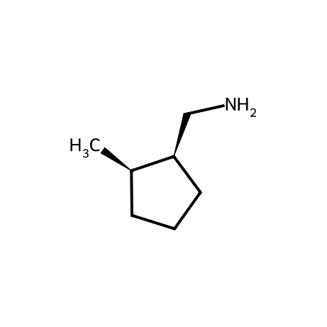 C[C@@H]1CCC[C@@H]1CN